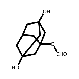 O=COC12CC3CC(O)(CC(O)(C3)C1)C2